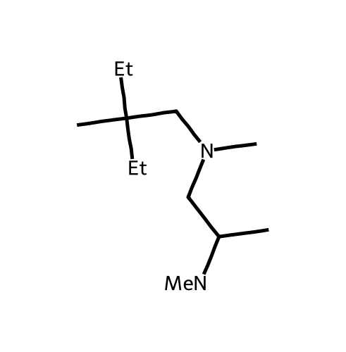 CCC(C)(CC)CN(C)CC(C)NC